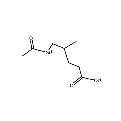 CC(=O)NCC(C)CCC(=O)O